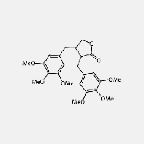 COc1cc(CC2COC(=O)C2Cc2cc(OC)c(OC)c(OC)c2)cc(OC)c1OC